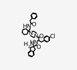 NC1(C(=O)NC(Cc2ccc(Cl)cc2)C(=O)N2CCN(C3(CNC(=O)Cc4ccccc4)CCCCC3)CC2)Cc2ccccc2C1